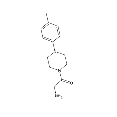 Cc1ccc(N2CCN(C(=O)CN)CC2)cc1